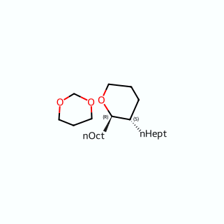 C1COCOC1.CCCCCCCC[C@H]1OCCC[C@@H]1CCCCCCC